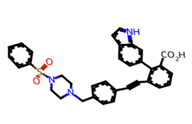 O=C(O)c1cccc(C#Cc2ccc(CN3CCN(S(=O)(=O)c4ccccc4)CC3)cc2)c1-c1ccc2cc[nH]c2c1